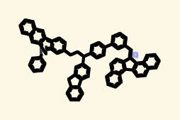 C(=C1/c2ccc3ccccc3c2-c2ccc3ccccc3c21)/c1cccc(-c2ccc(C(CCc3ccc4c5cc6ccccc6cc5n(-c5ccccc5)c4c3)c3ccc4c(c3)Cc3ccccc3-4)cc2)c1